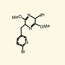 COC1=NC(C(C)C)C(OC)=NC1Cc1ccc(Br)nc1